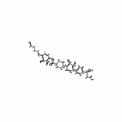 C=CCCCOc1ccc(OC(=O)C2CCC(c3ccc(-c4ccc(C(O)CCC)cc4)c(F)c3F)CC2)c(F)c1F